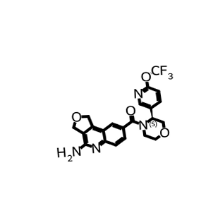 Nc1nc2ccc(C(=O)N3CCOC[C@@H]3c3ccc(OC(F)(F)F)nc3)cc2c2c1COC2